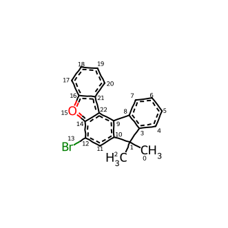 CC1(C)c2ccccc2-c2c1cc(Br)c1oc3ccccc3c21